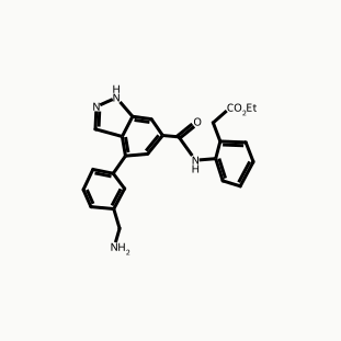 CCOC(=O)Cc1ccccc1NC(=O)c1cc(-c2cccc(CN)c2)c2cn[nH]c2c1